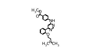 COC(=O)c1ccc(Nc2cc(-c3ccccc3OCCN(C)C)ncn2)cc1